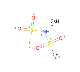 O=S(=O)(F)NS(=O)(=O)C(F)(F)F.[CsH]